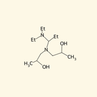 CCC(N(CC)CC)N(CC(C)O)CC(C)O